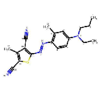 CCCN(CC)c1ccc(/N=N/c2sc(C#N)c(C)c2C#N)c(C)c1